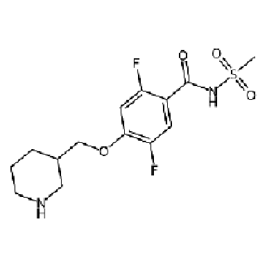 CS(=O)(=O)NC(=O)c1cc(F)c(OCC2CCCNC2)cc1F